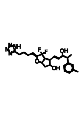 Cc1cccc(C(C)C(O)/C=C/[C@H]2C(O)CC3O/C(=C\CCCc4nnn[nH]4)C(F)(F)C32)c1